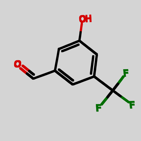 O=Cc1cc(O)cc(C(F)(F)F)c1